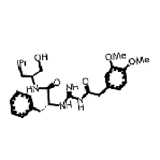 COc1ccc(CC(=O)NC(=N)N[C@H](Cc2ccccc2)C(=O)N[C@H](CO)CC(C)C)cc1OC